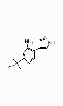 CC(C)(Cl)c1cc(N)c(-c2cn[nH]c2)cn1